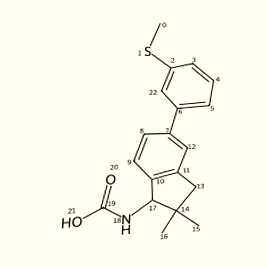 CSc1cccc(-c2ccc3c(c2)CC(C)(C)C3NC(=O)O)c1